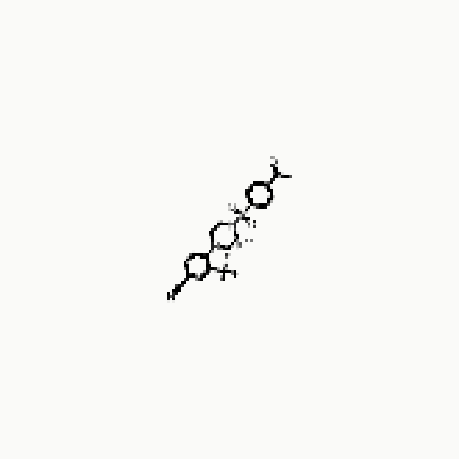 CC(=O)c1ccc(S(=O)(=O)N2CCN(c3ccc(C#N)cc3C(F)(F)F)C[C@H]2C)cc1